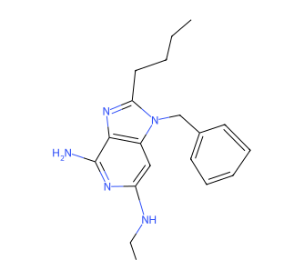 CCCCc1nc2c(N)nc(NCC)cc2n1Cc1ccccc1